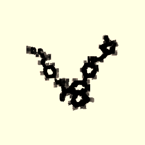 Cn1cc(CNc2ccc(-c3cc(C(=O)NC[C@H]4CC[C@H](CNC(=O)O)CC4)c4ccccc4n3)cn2)cn1